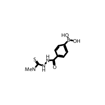 CNC(=S)NNC(=O)c1ccc(B(O)O)cc1